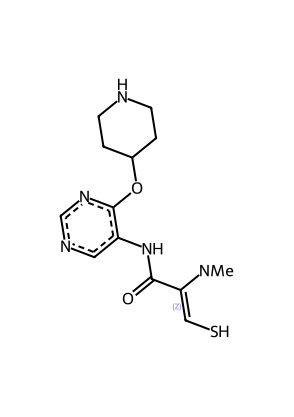 CN/C(=C\S)C(=O)Nc1cncnc1OC1CCNCC1